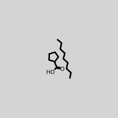 CCCCCCCCC.O=C(O)C1CCCC1